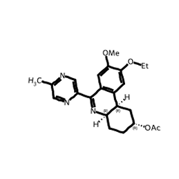 CCOc1cc2c(cc1OC)C(c1cnc(C)cn1)=N[C@@H]1CC[C@@H](OC(C)=O)C[C@H]21